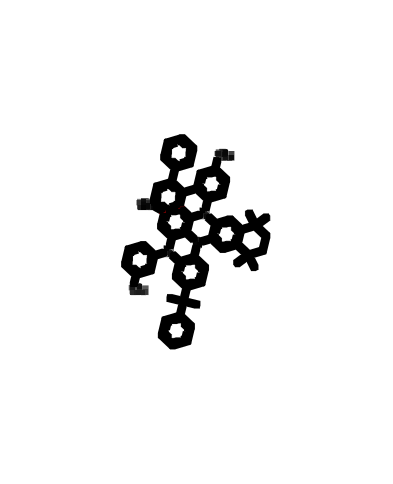 CC(C)(C)c1cccc(N2c3cc(C(C)(C)c4ccccc4)ccc3B3c4cc5c(cc4N(c4ccc(C(C)(C)C)cc4-c4ccccc4-c4ccccc4)c4cc(C(C)(C)C)cc2c43)C(C)(C)CCC5(C)C)c1